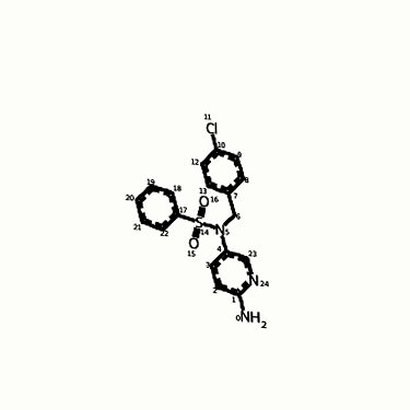 Nc1ccc(N(Cc2ccc(Cl)cc2)S(=O)(=O)c2ccccc2)cn1